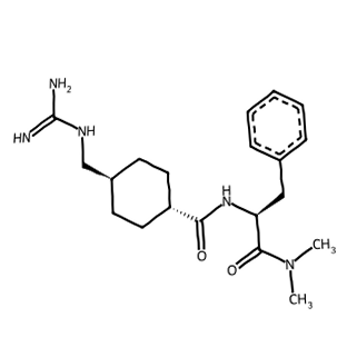 CN(C)C(=O)[C@H](Cc1ccccc1)NC(=O)[C@H]1CC[C@H](CNC(=N)N)CC1